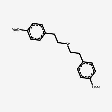 COc1ccc(CC[Se]CCc2ccc(OC)cc2)cc1